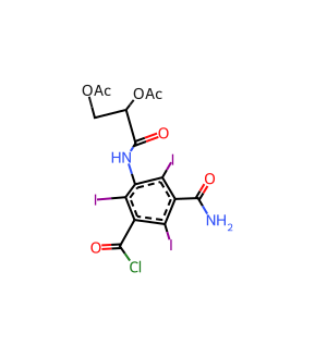 CC(=O)OCC(OC(C)=O)C(=O)Nc1c(I)c(C(N)=O)c(I)c(C(=O)Cl)c1I